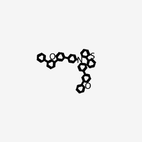 c1ccc(-c2cccc3c2oc2ccc(-c4ccc(N(c5ccc(-c6ccc7oc8ccccc8c7c6)cc5)c5cccc6sc7ccccc7c56)cc4)cc23)cc1